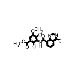 COC(=O)c1cc(OC)c(Cl)c(NC(=O)c2cccc3c(Cl)ncnc23)c1Cl